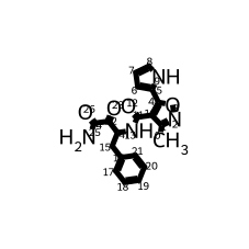 Cc1noc(-c2ccc[nH]2)c1C(=O)NC(Cc1ccccc1)C(=O)C(N)=O